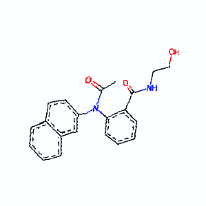 CC(=O)N(c1ccc2ccccc2c1)c1ccccc1C(=O)NCCO